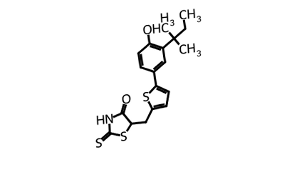 CCC(C)(C)c1cc(-c2ccc(CC3SC(=S)NC3=O)s2)ccc1O